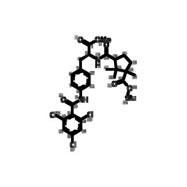 COC(=O)[C@H](Cc1ccc(NC(=O)c2c(Cl)cc(Cl)cc2Cl)cc1)NC(=O)C1CCC(C)(C(=O)OC(C)(C)C)C1(C)C